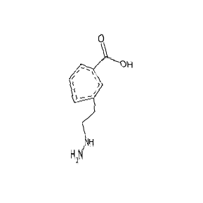 NNCCc1cccc(C(=O)O)c1